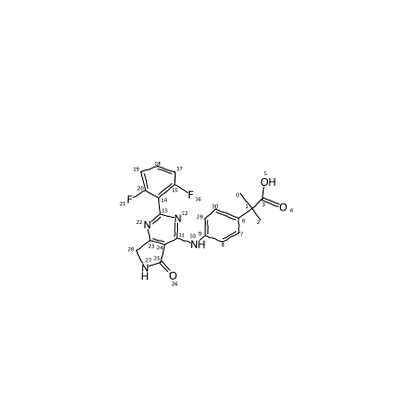 CC(C)(C(=O)O)c1ccc(Nc2nc(-c3c(F)cccc3F)nc3c2C(=O)NC3)cc1